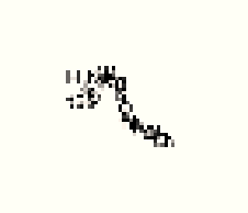 CC(c1ccc(COc2cccc3c2CN(C(CCC(=O)OC(C)(C)C)C(N)=O)C3=O)cc1)N1CCN(c2ccc(C#N)nc2)CC1